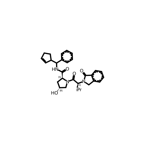 CC(C)[C@@H](C(=O)N1C[C@H](O)C[C@H]1C(=O)NC(c1ccccc1)C1C=CCC1)N1Cc2ccccc2C1=O